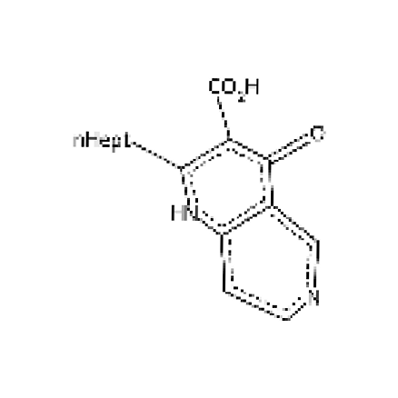 CCCCCCCc1[nH]c2ccncc2c(=O)c1C(=O)O